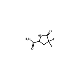 NC(=O)C1CC(F)(F)C(=O)N1